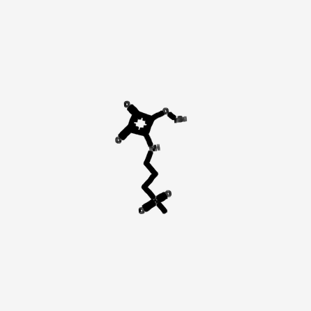 CCCCOc1c(NCCCS(C)(=O)=O)c(=O)c1=O